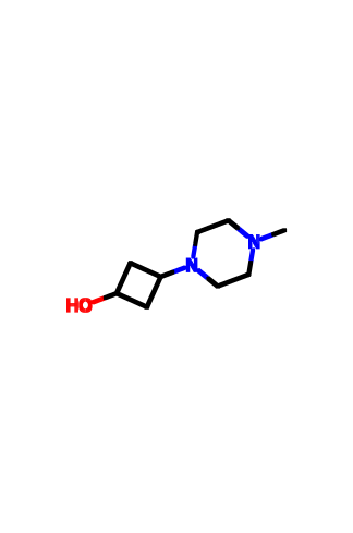 CN1CCN(C2CC(O)C2)CC1